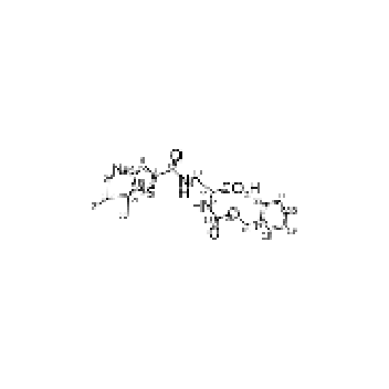 Cc1cnc2cc(C(=O)NCC(NC(=O)OCc3ccccc3)C(=O)O)sc2c1C